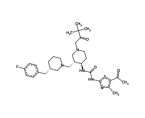 CC(=O)c1sc(NC(=O)N[C@@H]2CCN(CC(=O)C(C)(C)C)C[C@H]2CN2CCC[C@@H](Cc3ccc(F)cc3)C2)nc1C